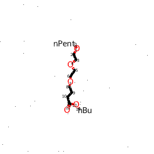 CCCCCOCCOCCOCCCC(=O)OCCCC